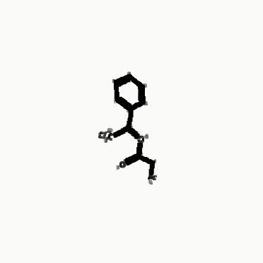 CC(=O)CC(=O)OC(c1ccccc1)C(Cl)(Cl)Cl